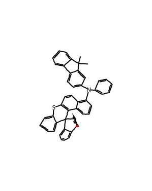 CC1(C)c2ccccc2-c2ccc(N(c3ccccc3)c3cccc4c5c(ccc34)Sc3ccccc3C53c4ccccc4-c4ccccc43)cc21